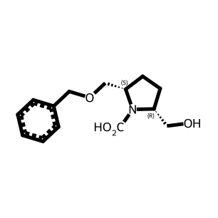 O=C(O)N1[C@@H](CO)CC[C@H]1COCc1ccccc1